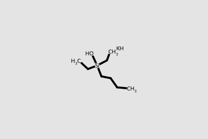 CCCC[Si](O)(CC)CC.[KH]